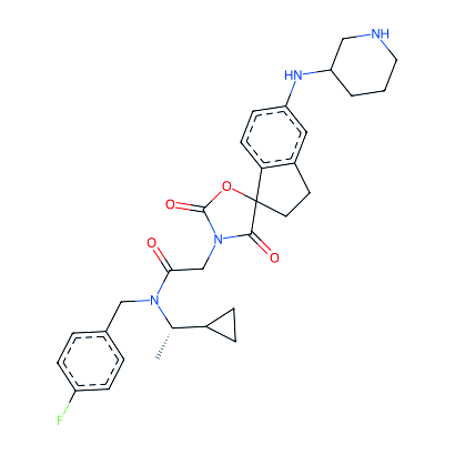 C[C@@H](C1CC1)N(Cc1ccc(F)cc1)C(=O)CN1C(=O)OC2(CCc3cc(NC4CCCNC4)ccc32)C1=O